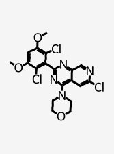 COc1cc(OC)c(Cl)c(-c2nc(N3CCOCC3)c3cc(Cl)ncc3n2)c1Cl